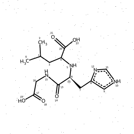 CC(C)CC(N[C@@H](Cc1c[nH]cn1)C(=O)NCC(=O)O)C(=O)O